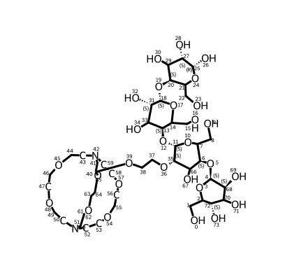 OCC1O[C@@H](O[C@@H]2C(CO)O[C@@H](O[C@@H]3C(CO)O[C@@H](O[C@@H]4C(CO)O[C@@H](O)[C@@H](O)C4O)[C@@H](O)C3O)[C@@H](OCCOC3CN4CCOCCOCCN(CCOCCOCC4)CCOCCO3)C2O)[C@@H](O)C(O)[C@@H]1O